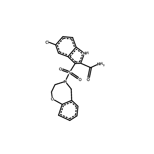 NC(=O)c1[nH]c2ccc(Cl)cc2c1S(=O)(=O)N1CCOc2ccccc2C1